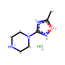 Cc1nc(N2CCNCC2)no1.Cl